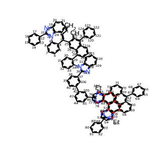 C=C/C=C(/c1ccccc1-n1c(-c2ccccc2)nc2ccccc21)c1cc2c(-c3ccccc3-n3c(-c4cccc(-c5cccc(-c6nc7c(-c8ccccc8-c8cccc9c(-c%10ccccc%10)c%10cccc(-c%11ccccc%11-c%11cccc%12c%11nc(-c%11ccccc%11)n%12CC)c%10cc89)cccc7n6CC)c5)c4)nc4ccccc43)cccc2c(-c2ccccc2)c1C